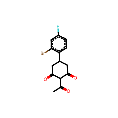 CC(=O)C1C(=O)CC(c2ccc(F)cc2Br)CC1=O